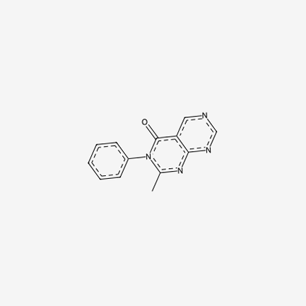 Cc1nc2ncncc2c(=O)n1-c1ccccc1